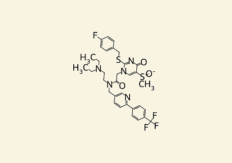 CCN(CC)CCN(Cc1ccc(-c2ccc(C(F)(F)F)cc2)nc1)C(=O)Cn1cc([S+](C)[O-])c(=O)nc1SCc1ccc(F)cc1